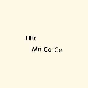 Br.[Ce].[Co].[Mn]